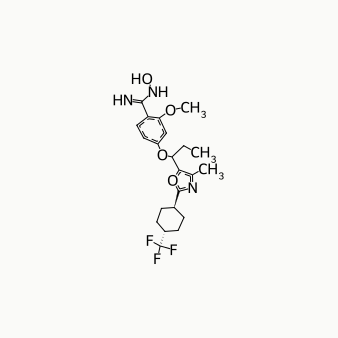 CCC(Oc1ccc(C(=N)NO)c(OC)c1)c1oc([C@H]2CC[C@H](C(F)(F)F)CC2)nc1C